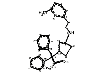 Cc1cccc(CCNC2CCC(C(C(N)=O)(c3ccccc3)c3ccccc3)C2)n1